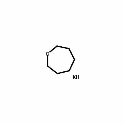 C1CCCOCC1.[KH]